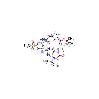 CC(C)N1CC(=O)N(C)c2cnc(Nc3cc(NC(=O)CC4CCN(C(=O)OC(C)(C)C)C4)cc(S(C)(=O)=O)c3)nc21